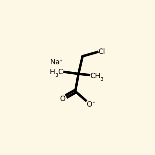 CC(C)(CCl)C(=O)[O-].[Na+]